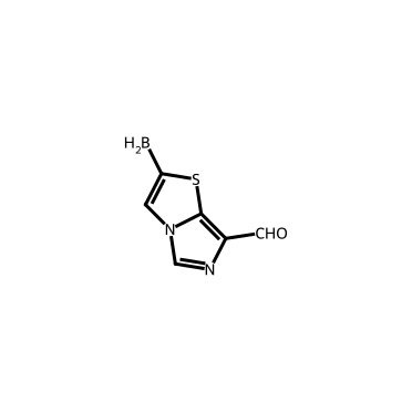 Bc1cn2cnc(C=O)c2s1